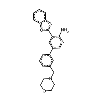 Nc1ncc(-c2cccc(CN3CCOCC3)c2)cc1-c1nc2ccccc2o1